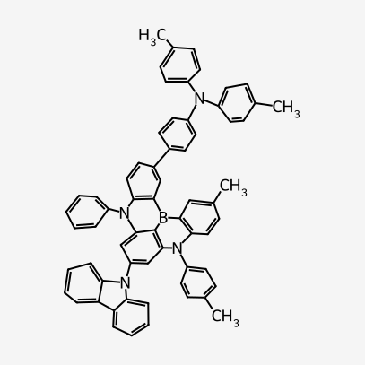 Cc1ccc(N(c2ccc(C)cc2)c2ccc(-c3ccc4c(c3)B3c5cc(C)ccc5N(c5ccc(C)cc5)c5cc(-n6c7ccccc7c7ccccc76)cc(c53)N4c3ccccc3)cc2)cc1